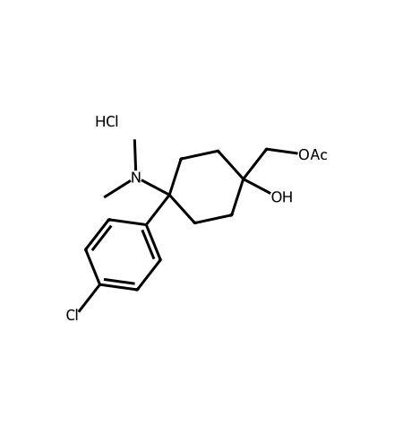 CC(=O)OCC1(O)CCC(c2ccc(Cl)cc2)(N(C)C)CC1.Cl